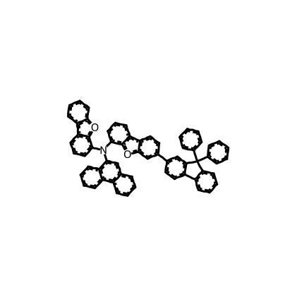 c1ccc(C2(c3ccccc3)c3ccccc3-c3ccc(-c4ccc5c(c4)oc4c(N(c6cc7ccccc7c7ccccc67)c6cccc7c6oc6ccccc67)cccc45)cc32)cc1